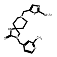 CC(=O)Nc1ncc(CN2CCC3(CC2)CN(Cc2ccnc(C)c2)C(=O)N3)s1